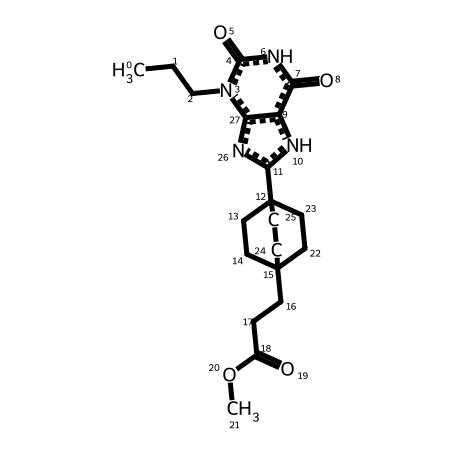 CCCn1c(=O)[nH]c(=O)c2[nH]c(C34CCC(CCC(=O)OC)(CC3)CC4)nc21